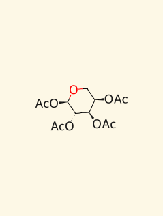 CC(=O)O[C@H]1OC[C@@H](OC(C)=O)[C@@H](OC(C)=O)[C@@H]1OC(C)=O